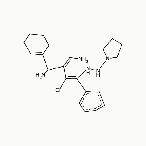 N/C=C(\C(Cl)=C(/NNN1CCCC1)c1ccccc1)C(N)C1=CCCCC1